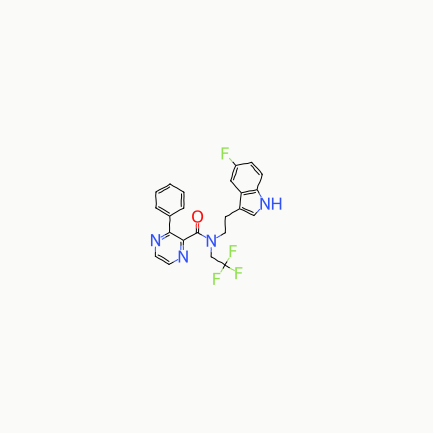 O=C(c1nccnc1-c1ccccc1)N(CCc1c[nH]c2ccc(F)cc12)CC(F)(F)F